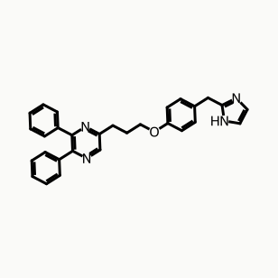 c1ccc(-c2ncc(CCCOc3ccc(Cc4ncc[nH]4)cc3)nc2-c2ccccc2)cc1